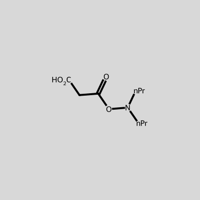 CCCN(CCC)OC(=O)CC(=O)O